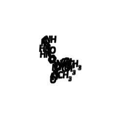 C[C@H]1COCCN1c1cc(C(C)(C)S(C)(=O)=O)nc(-c2ccc(NC(=O)NCc3ncc[nH]3)cc2)n1